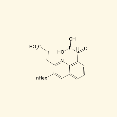 CCCCCCc1cc2cccc([PH](=O)P(O)O)c2nc1C=CC(=O)O